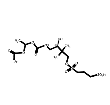 CC(OC(=O)NC[C@@H](O)C(C)(C)COS(=O)(=O)CCCS(=O)(=O)O)OC(=O)C(C)C